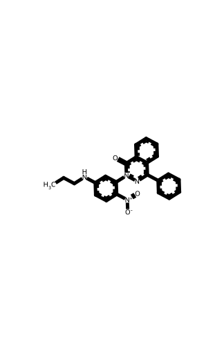 CCCNc1ccc([N+](=O)[O-])c(-n2nc(-c3ccccc3)c3ccccc3c2=O)c1